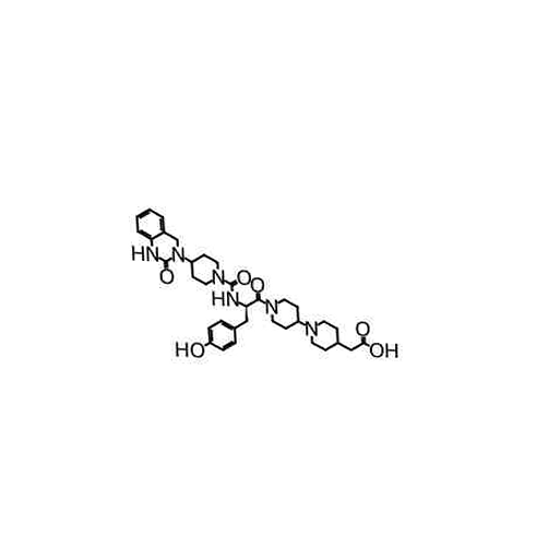 O=C(O)CC1CCN(C2CCN(C(=O)[C@@H](Cc3ccc(O)cc3)NC(=O)N3CCC(N4Cc5ccccc5NC4=O)CC3)CC2)CC1